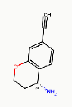 C#Cc1ccc2c(c1)OCC[C@H]2N